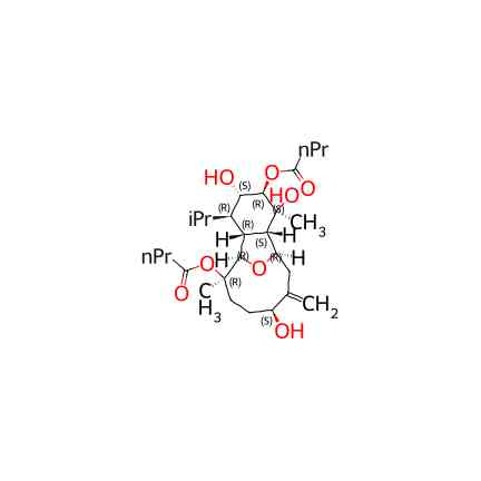 C=C1C[C@H]2O[C@H]([C@@H]3[C@@H](C(C)C)[C@H](O)[C@@H](OC(=O)CCC)[C@@](C)(O)[C@@H]32)[C@](C)(OC(=O)CCC)CC[C@@H]1O